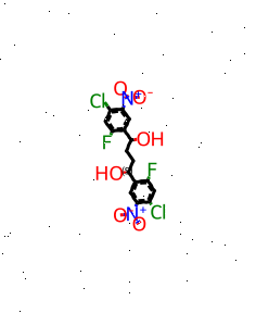 O=[N+]([O-])c1cc(C(O)CC[C@H](O)c2cc([N+](=O)[O-])c(Cl)cc2F)c(F)cc1Cl